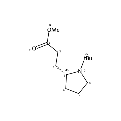 COC(=O)CC[C@H]1CCCN1C(C)(C)C